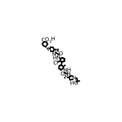 Cc1c(NC(=O)c2nc3c(n2C)CCN(CC(C)O)C3)cccc1-c1cccc(NC(=O)c2nc3c(n2C)CCN(C[C@H]2CC[C@@H](C(=O)O)CC2)C3)c1Cl